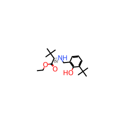 CCOC(=O)[C@@H](NCc1cccc(C(C)(C)C)c1O)C(C)(C)C